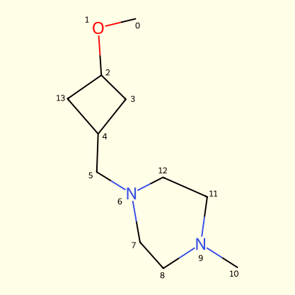 COC1CC(CN2CCN(C)CC2)C1